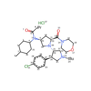 CC1CCC(N(C(=O)C(C)C)[C@H]2C[C@@H](C(=O)N3CCOCC3)N([C@@H]3CN(C(C)(C)C)C[C@H]3c3ccc(Cl)cc3)C2)CC1.Cl